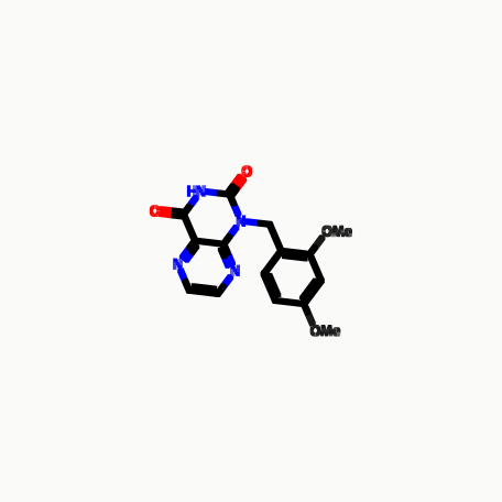 COc1ccc(Cn2c(=O)[nH]c(=O)c3nccnc32)c(OC)c1